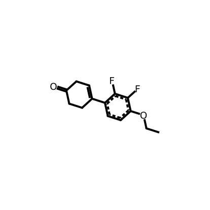 CCOc1ccc(C2=CCC(=O)CC2)c(F)c1F